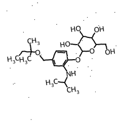 CCC(C)(C)OCc1ccc(OC2OC(CO)C(O)C(O)C2O)c(NC(C)C)c1